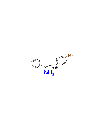 NC(C[Se]c1ccc(Br)cc1)c1ccccc1